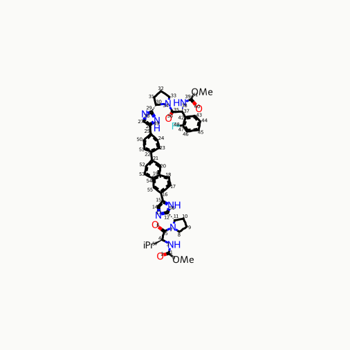 COC(=O)N[C@H](C(=O)N1CCC[C@H]1c1ncc(-c2ccc3cc(-c4ccc(-c5cnc([C@@H]6CCCN6C(=O)[C@H](NC(=O)OC)c6ccccc6F)[nH]5)cc4)ccc3c2)[nH]1)C(C)C